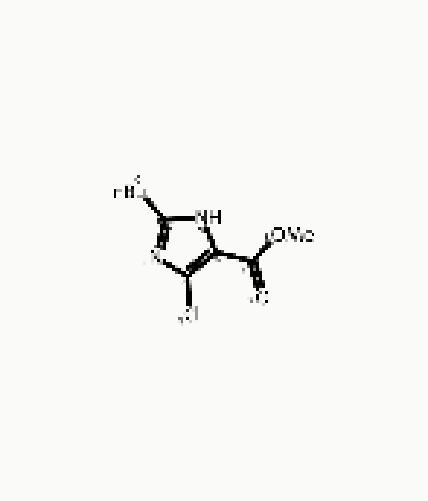 CCCCc1nc(Cl)c(C(=O)OC)[nH]1